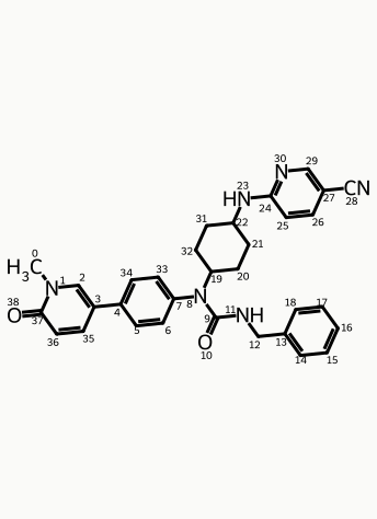 Cn1cc(-c2ccc(N(C(=O)NCc3ccccc3)C3CCC(Nc4ccc(C#N)cn4)CC3)cc2)ccc1=O